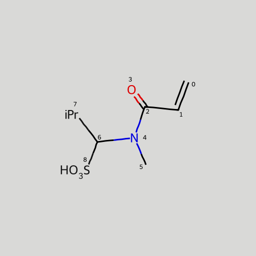 C=CC(=O)N(C)C(C(C)C)S(=O)(=O)O